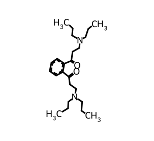 CCCN(CCC)CCC(=O)c1ccccc1C(=O)CCN(CCC)CCC